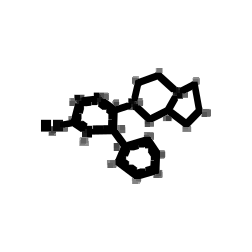 Nc1nnc(N2CCN3CCCC3C2)c(-c2ccccc2)n1